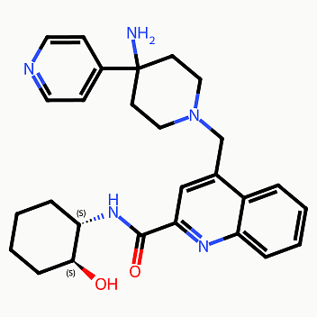 NC1(c2ccncc2)CCN(Cc2cc(C(=O)N[C@H]3CCCC[C@@H]3O)nc3ccccc23)CC1